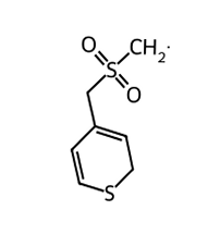 [CH2]S(=O)(=O)CC1=CCSC=C1